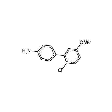 COc1ccc(Cl)c(-c2ccc(N)cc2)c1